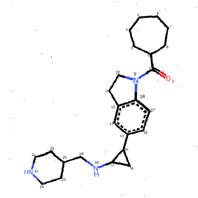 O=C(C1CCCCCC1)N1CCc2cc(C3CC3NCC3CCNCC3)ccc21